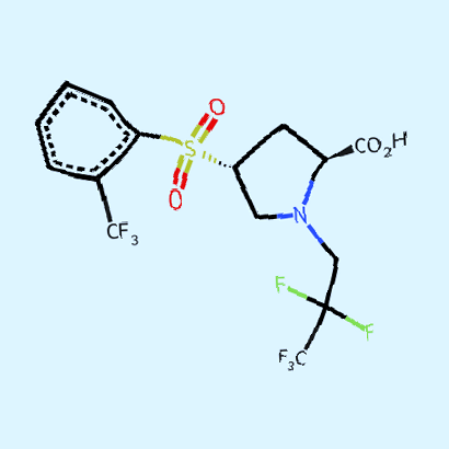 O=C(O)[C@@H]1C[C@@H](S(=O)(=O)c2ccccc2C(F)(F)F)CN1CC(F)(F)C(F)(F)F